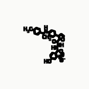 Cc1ccc(C(C)Nc2ccc(-c3ccoc3C(=O)NNC(=O)c3ccc(O)cc3[N+](=O)[O-])cc2)cc1